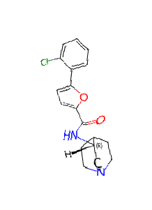 O=C(N[C@H]1CN2CCC1CC2)c1ccc(-c2ccccc2Cl)o1